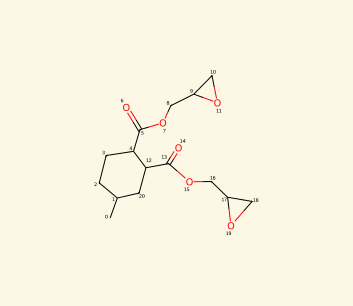 CC1CCC(C(=O)OCC2CO2)C(C(=O)OCC2CO2)C1